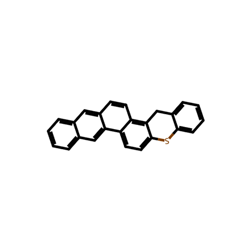 c1ccc2c(c1)Cc1c(ccc3c1ccc1cc4ccccc4cc13)S2